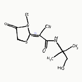 CCN1C(=O)CS/C1=C(/C#N)C(=O)NC(C)(C)CO